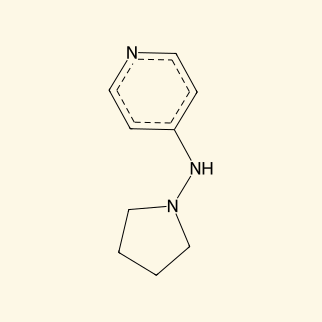 c1cc(NN2CCCC2)ccn1